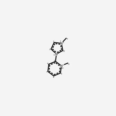 C[n+]1ccn(-c2cccc[n+]2C)c1